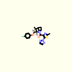 Cc1nc(C(=O)N2C3CC(C3)[C@H](C)[C@H]2COc2ccc(F)cc2)c(-n2nccn2)s1